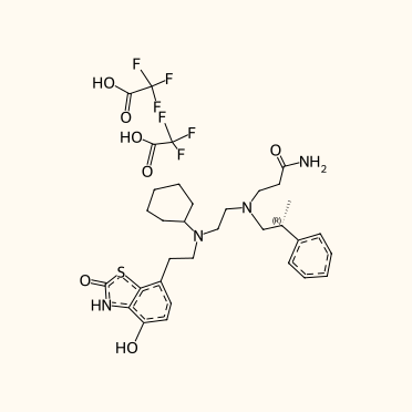 C[C@@H](CN(CCC(N)=O)CCN(CCc1ccc(O)c2[nH]c(=O)sc12)C1CCCCC1)c1ccccc1.O=C(O)C(F)(F)F.O=C(O)C(F)(F)F